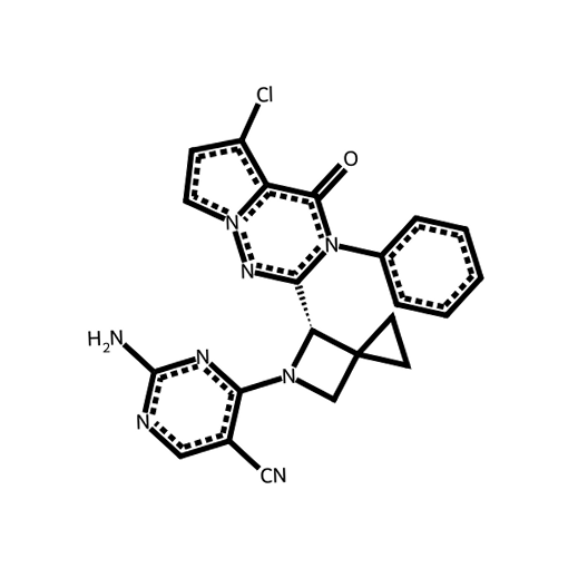 N#Cc1cnc(N)nc1N1CC2(CC2)[C@H]1c1nn2ccc(Cl)c2c(=O)n1-c1ccccc1